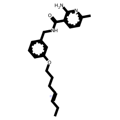 CC/C=C/CCCOc1cccc(CNC(=O)c2ccc(C)nc2N)c1